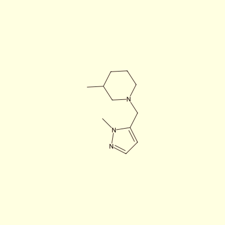 CC1CCCN(Cc2ccnn2C)C1